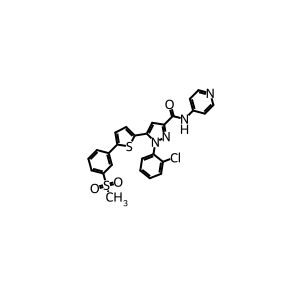 CS(=O)(=O)c1cccc(-c2ccc(-c3cc(C(=O)Nc4ccncc4)nn3-c3ccccc3Cl)s2)c1